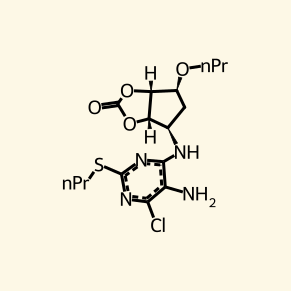 CCCO[C@H]1C[C@@H](Nc2nc(SCCC)nc(Cl)c2N)[C@@H]2OC(=O)O[C@@H]21